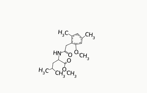 COC(=O)C(CC(C)C)NC(=O)Cc1c(C)cc(C)cc1OC